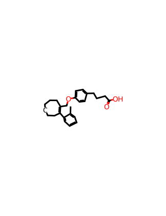 Cc1ccccc1/C1=C(\COc2ccc(CCCC(=O)O)cc2)CCCCCC1